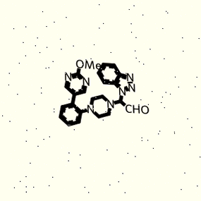 COc1ncc(-c2ccccc2N2CCN(C(C=O)n3nnc4ccccc43)CC2)cn1